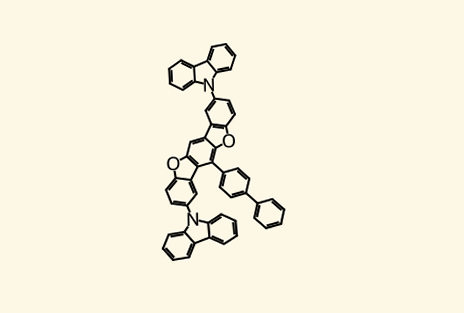 c1ccc(-c2ccc(-c3c4oc5ccc(-n6c7ccccc7c7ccccc76)cc5c4cc4oc5ccc(-n6c7ccccc7c7ccccc76)cc5c34)cc2)cc1